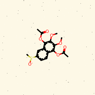 COc1c(OC)c(OC(C)=O)c2cc([S+](C)[O-])ccc2c1OC(C)=O